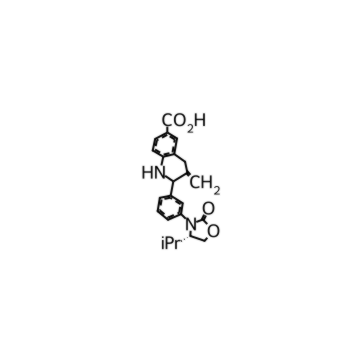 C=C1Cc2cc(C(=O)O)ccc2NC1c1cccc(N2C(=O)OC[C@@H]2C(C)C)c1